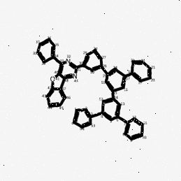 c1ccc(-c2cc(-c3ccccc3)cc(-c3cc(-c4ccccc4)cc(-c4cccc(-c5nc(-c6ccccc6)c6oc7ccccc7c6n5)c4)c3)c2)cc1